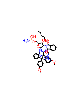 CCCCCOC1=[N+]([C@@H]2[C@H](O)[C@@H](COP(N)O)O[C@H]2N2C=NC3(C(c4ccccc4)(c4ccc(OC)cc4)c4ccc(OC)cc4)C(N)=NC=NC23)C(=O)c2ccccc21